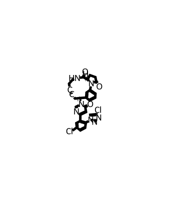 O=C1NCCCCC[C@H](n2cnc(-c3cc(Cl)ccc3-n3cc(Cl)nn3)cc2=O)c2cccc(c2)N2C(=O)CC[C@H]12